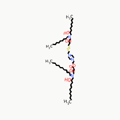 CCCCCCCCCCC(O)CN(CCCC(=O)OCCN1CCN(CCSSCCCCN(CC(O)CCCCCCCC)CC(O)CCCCCCCC)CC1)CC(O)CCCCCCCCCC